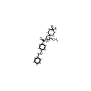 CN(C)C1(CNC(=O)c2ccc(OCc3ccccc3)cc2)CCC(F)(F)CC1